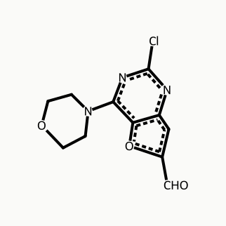 O=Cc1cc2nc(Cl)nc(N3CCOCC3)c2o1